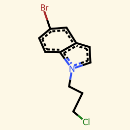 ClCCCn1ccc2cc(Br)ccc21